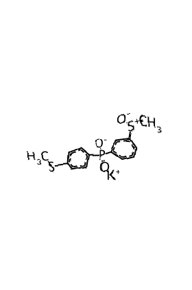 CSc1ccc(P(=O)([O-])c2cccc([S+](C)[O-])c2)cc1.[K+]